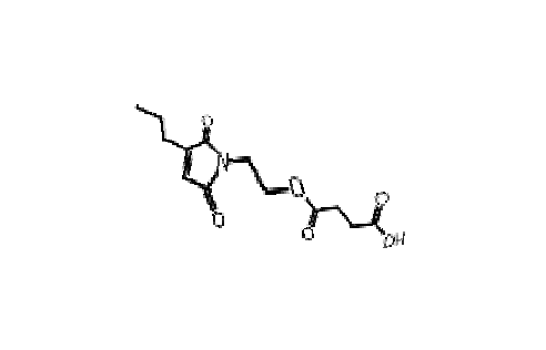 CCCC1=CC(=O)N(CCOC(=O)CCC(=O)O)C1=O